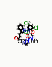 CCCN(CCOc1c(Cl)cc(Cl)cc1Cl)C(=O)n1ccnc1.O=C(/C=C/c1c[nH]c2ccccc12)C(F)(F)F